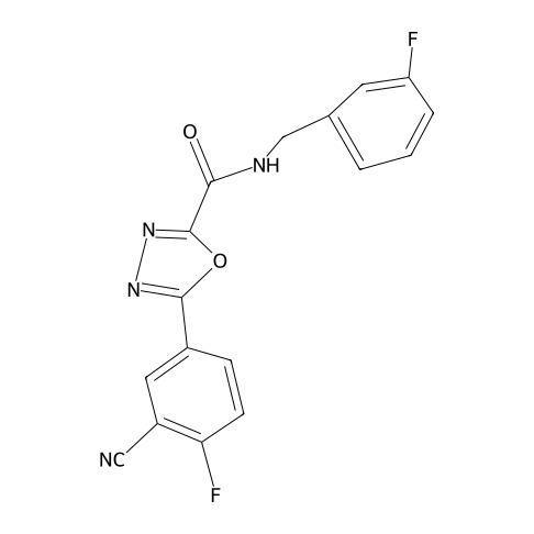 N#Cc1cc(-c2nnc(C(=O)NCc3cccc(F)c3)o2)ccc1F